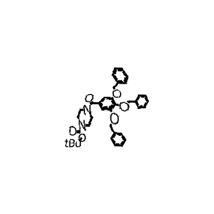 CC(C)(C)OC(=O)N1CCN(C(=O)c2cc(OCc3ccccc3)c(OCc3ccccc3)c(OCc3ccccc3)c2)CC1